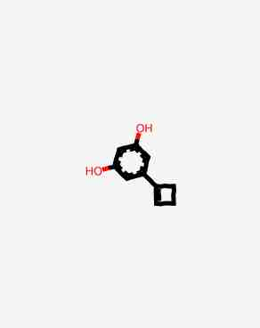 Oc1cc(O)cc(C2=CCC2)c1